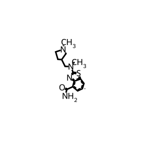 CN1CCC(CN(C)c2nc3c(C(N)=O)c[c]cc3s2)C1